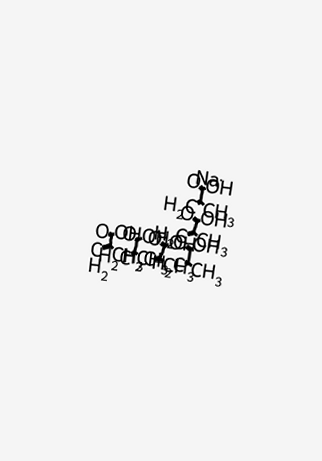 C=C(C)C(=O)O.C=C(C)C(=O)O.C=C(C)C(=O)O.C=C(C)C(=O)O.C=C(C)C(=O)O.C=C(C)C(=O)O.[Na]